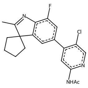 CC(=O)Nc1cc(-c2cc(F)c3c(c2)C2(CCCC2)C(C)=N3)c(Cl)cn1